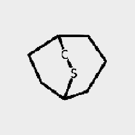 C1CC2CCC(C1)SC2